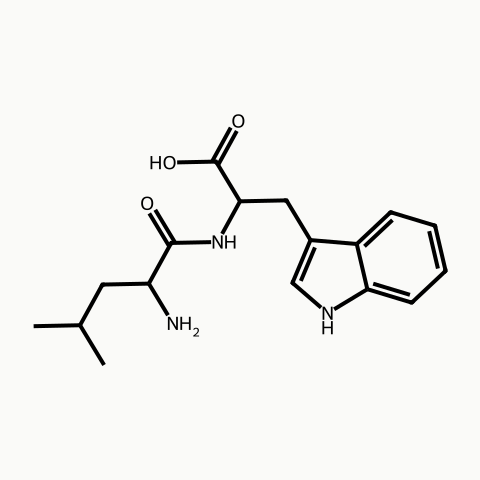 CC(C)CC(N)C(=O)NC(Cc1c[nH]c2ccccc12)C(=O)O